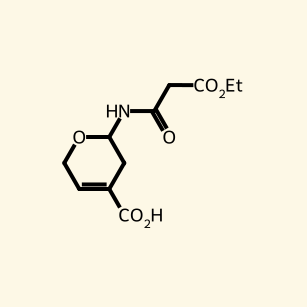 CCOC(=O)CC(=O)NC1CC(C(=O)O)=CCO1